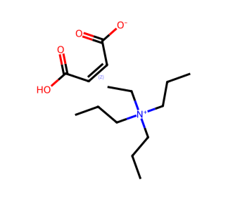 CCC[N+](CC)(CCC)CCC.O=C([O-])/C=C\C(=O)O